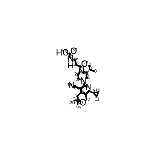 CC(C)[C@@H]1CN(c2nc(C3CC3)c3c(c2C#N)CC(C)(C)OC3)CCN1C(=O)CCNC(=O)O